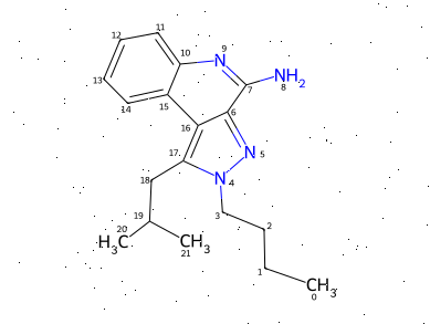 CCCCn1nc2c(N)nc3ccccc3c2c1CC(C)C